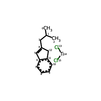 CC(C)CC1=Cc2ccccc2[CH]1.[Cl][Ti][Cl]